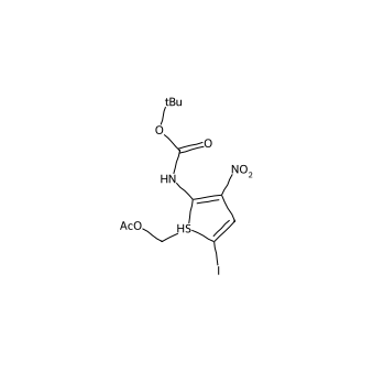 CC(=O)OC[SH]1C(I)=CC([N+](=O)[O-])=C1NC(=O)OC(C)(C)C